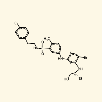 CC[C@H](CO)Nc1nc(Nc2ccc(C)c(S(=O)(=O)NCCc3ccc(Cl)cc3)c2)ncc1Br